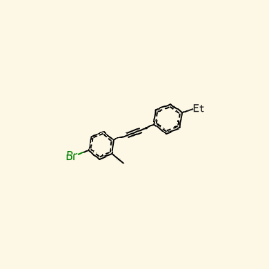 CCc1ccc(C#Cc2ccc(Br)cc2C)cc1